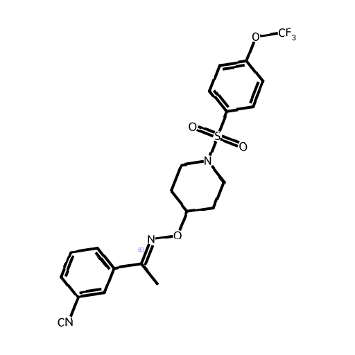 [C-]#[N+]c1cccc(/C(C)=N/OC2CCN(S(=O)(=O)c3ccc(OC(F)(F)F)cc3)CC2)c1